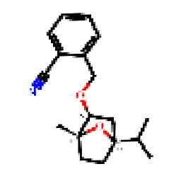 CC(C)[C@@]12CC[C@@](C)(O1)[C@@H](OCc1ccccc1C#N)C2